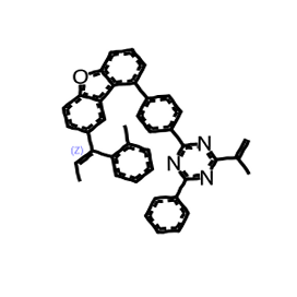 C=C(C)c1nc(-c2ccccc2)nc(-c2ccc(-c3cccc4oc5ccc(/C(=C/C)c6ccccc6C)cc5c34)cc2)n1